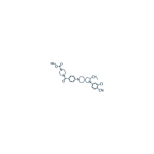 CC1CC2(CCN(c3ccc(C(=O)N4CCN(C(=O)OC(C)(C)C)CC4)cc3)CC2)CN1c1ccc(C#N)c(Cl)c1